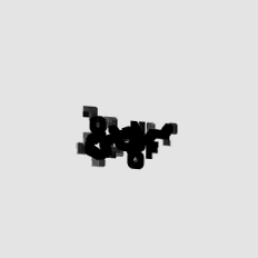 CCCC(F)OC(=O)CC(C)(C#N)c1ccccc1OC